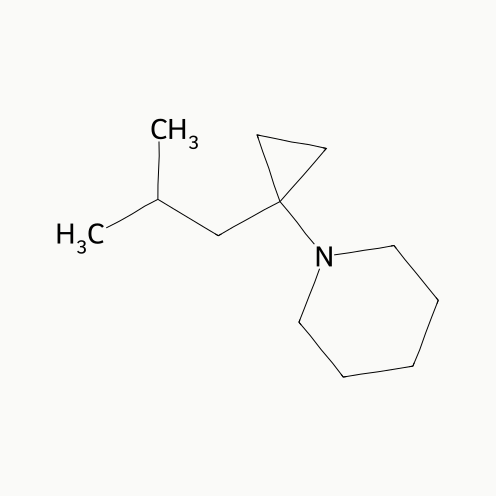 CC(C)CC1(N2CCCCC2)CC1